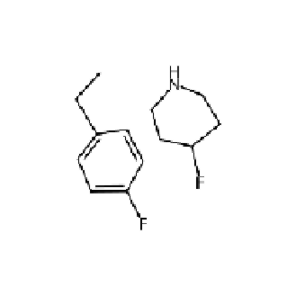 CCc1ccc(F)cc1.FC1CCNCC1